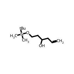 C=CCC(O)CCO[Si](C)(C)C(C)(C)C